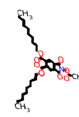 CCCCCCCCCCOC(=O)c1cc2c(cc1C(=O)OCCCCCCCCCC)C(=O)N(OC(C)=O)C2=O